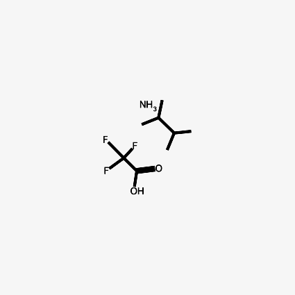 CC(C)C(C)C.N.O=C(O)C(F)(F)F